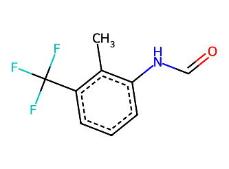 Cc1c(NC=O)cccc1C(F)(F)F